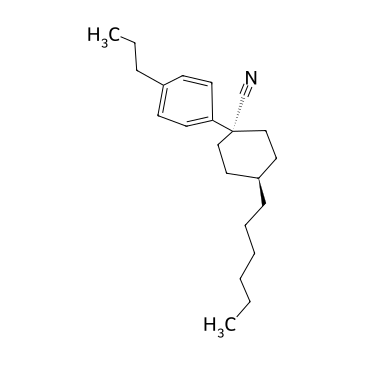 CCCCCC[C@H]1CC[C@@](C#N)(c2ccc(CCC)cc2)CC1